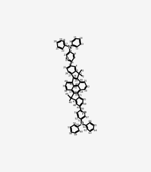 CC1(C)c2cc(-c3ccc(N(c4ccccc4)c4ccccc4)cn3)ccc2-c2c1c1cccc3c4c(c5cccc2c5c31)C(C)(C)c1cc(-c2ccc(N(c3ccccc3)c3ccccc3)cn2)ccc1-4